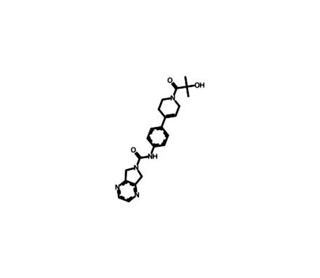 CC(C)(O)C(=O)N1CC=C(c2ccc(NC(=O)N3Cc4nccnc4C3)cc2)CC1